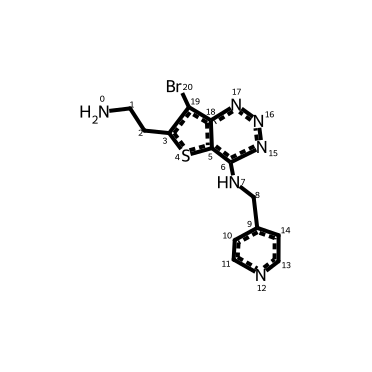 NCCc1sc2c(NCc3ccncc3)nnnc2c1Br